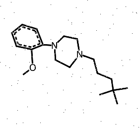 COc1ccccc1N1CCN(CCCC(C)(C)C)CC1